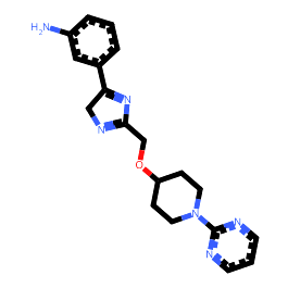 Nc1cccc(C2=NC(COC3CCN(c4ncccn4)CC3)=NC2)c1